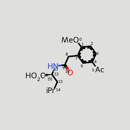 COc1ccc(C(C)=O)cc1CC(=O)N[C@@H](CC(C)C)C(=O)O